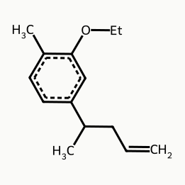 C=CCC(C)c1ccc(C)c(OCC)c1